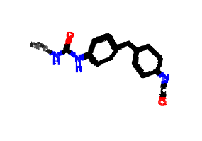 CCCNC(=O)NC1CCC(CC2CCC(N=C=O)CC2)CC1